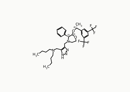 CCCCN(CCCC)Cc1[nH]nnc1CN1CCO[C@H](O[C@H](C)c2cc(C(F)(F)F)cc(C(F)(F)F)c2)[C@@H]1c1ccccc1